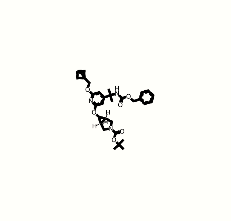 CC(C)(C)OC(=O)N1C[C@@H]2C(Oc3cc(C(C)(C)NC(=O)OCc4ccccc4)cc(OCC45CC(C4)C5)n3)[C@@H]2C1